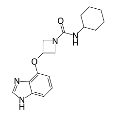 O=C(NC1CCCCC1)N1CC(Oc2cccc3[nH]cnc23)C1